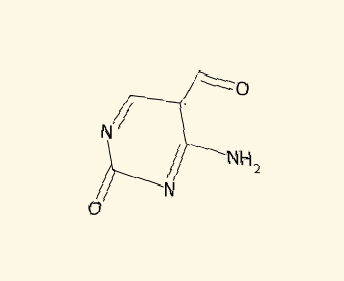 NC1=NC(=O)N=C[C]1C=O